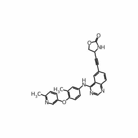 Cc1ccc(Oc2ccc(Nc3ncnc4ccc(C#CC5COC(=O)N5)cc34)cc2C)cn1